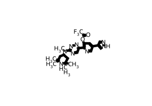 CN(c1ncc(-c2ncc(-c3cn[nH]c3)cc2OC(=O)C(F)(F)F)nn1)C1CC(C)(C)NC(C)(C)C1